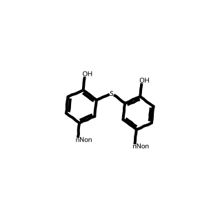 CCCCCCCCCc1ccc(O)c(Sc2cc(CCCCCCCCC)ccc2O)c1